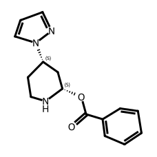 O=C(O[C@H]1C[C@@H](n2cccn2)CCN1)c1ccccc1